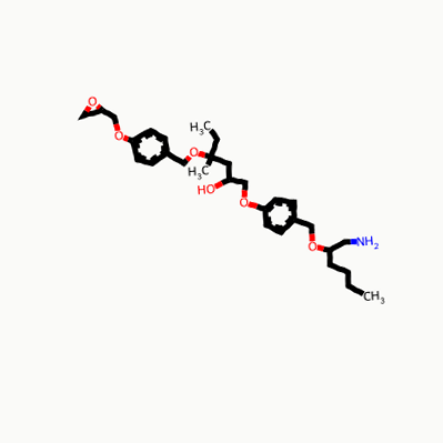 CCCCC(CN)OCc1ccc(OCC(O)CC(C)(CC)OCc2ccc(OCC3CO3)cc2)cc1